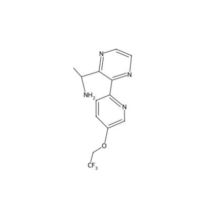 CC(N)c1nccnc1-c1ccc(OCC(F)(F)F)cn1